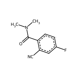 CN(C)C(=O)c1c[c]c(F)cc1C#N